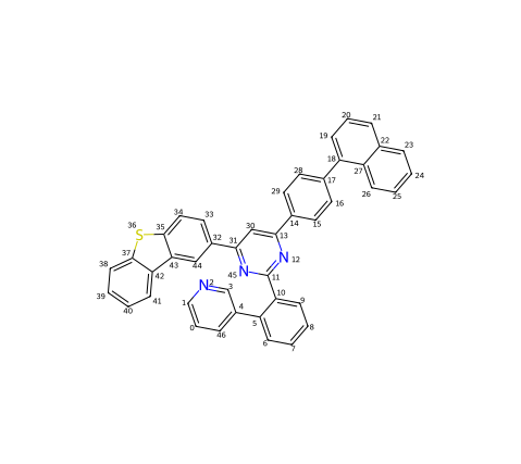 c1cncc(-c2ccccc2-c2nc(-c3ccc(-c4cccc5ccccc45)cc3)cc(-c3ccc4sc5ccccc5c4c3)n2)c1